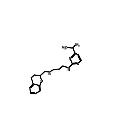 CN(C)c1ccnc(NCCCNCC2CCc3ccccc3O2)n1